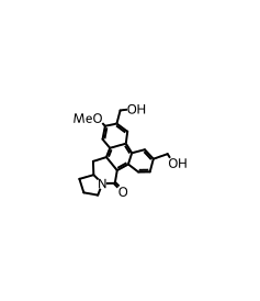 COc1cc2c3c(c4ccc(CO)cc4c2cc1CO)C(=O)N1CCCC1C3